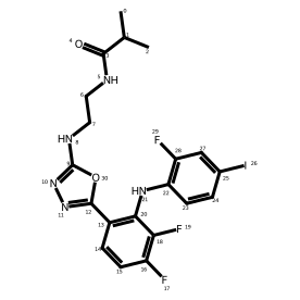 CC(C)C(=O)NCCNc1nnc(-c2ccc(F)c(F)c2Nc2ccc(I)cc2F)o1